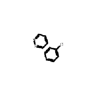 Clc1ccccc1.c1ccnnc1